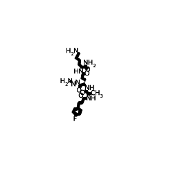 CC(NC(=O)/C=C/c1ccc(F)cc1)C(=O)N[C@@H](CCC(=O)NC(CCCCN)C(N)=O)C(=O)N=NN